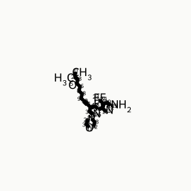 CC(C)=CC(=O)CCCCC#Cc1cc(-c2cnc(N)cc2C(F)(F)F)nc(N2CCOCC2)c1